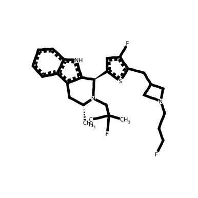 C[C@@H]1Cc2c([nH]c3ccccc23)[C@@H](c2cc(F)c(CC3CN(CCCF)C3)s2)N1CC(C)(C)F